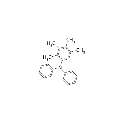 Cc1cc(N(c2ccccc2)c2ccccc2)c(C)c(C)c1C